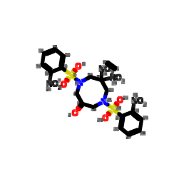 C=C.O=C1CN(S(=O)(=O)c2ccccc2[N+](=O)[O-])CC([N+](=O)[O-])([N+](=O)[O-])CN(S(=O)(=O)c2ccccc2[N+](=O)[O-])C1